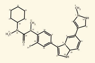 CN1C=C(C2=CN3C(c4ccc(N(C)C(=O)N(C)C5CCCCC5)c(F)c4)=CNC3C=C2)CN1